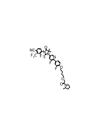 CC1CCCN1C(=O)COCCCCOc1ccc(-c2ncc(N3C(=S)N(c4ccc(C#N)c(C(F)(F)F)c4F)C(=O)C3(C)C)cc2F)cc1F